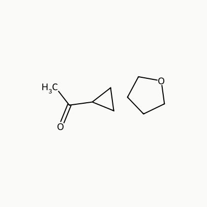 C1CCOC1.CC(=O)C1CC1